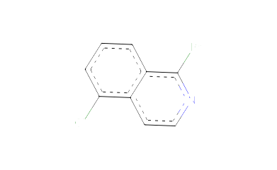 Clc1cccc2c(Br)nccc12